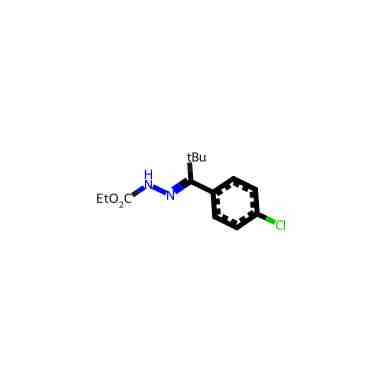 CCOC(=O)NN=C(c1ccc(Cl)cc1)C(C)(C)C